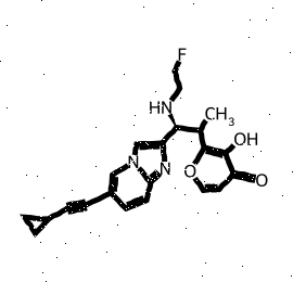 CC(c1occc(=O)c1O)[C@H](NCCF)c1cn2cc(C#CC3CC3)ccc2n1